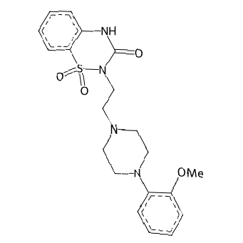 COc1ccccc1N1CCN(CCN2C(=O)Nc3ccccc3S2(=O)=O)CC1